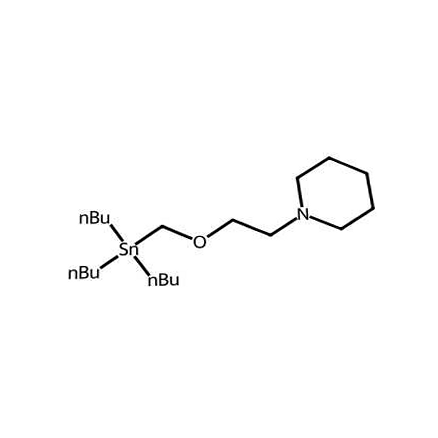 CCC[CH2][Sn]([CH2]CCC)([CH2]CCC)[CH2]OCCN1CCCCC1